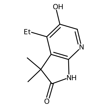 CCc1c(O)cnc2c1C(C)(C)C(=O)N2